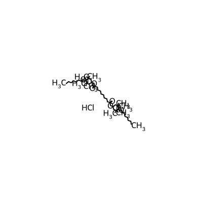 CCCCCCCCON1C(C)(C)CC(OC(=O)CCCCCCCCC(=O)OC2CC(C)(C)N(OCCCCCCCC)C(C)(C)C2)CC1(C)C.Cl